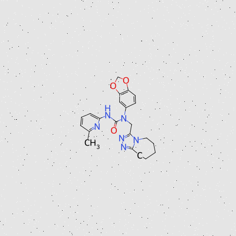 Cc1cccc(NC(=O)N(Cc2nnc3n2CCCCC3)c2ccc3c(c2)OCO3)n1